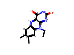 [CH2]Cn1c2nc(=O)[nH]c(=O)c-2nc2cc(C)c(C)cc21